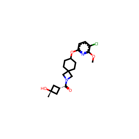 COc1nc(OC2CCC3(CC2)CN(C(=O)[C@H]2C[C@@](C)(O)C2)C3)ccc1Cl